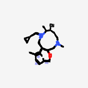 CC1=C\OC2CN(C)CCC(C#N)C(C)N(CC3CC3)CC2/C(C)=C(C)/C=C\1